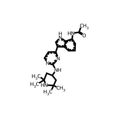 CC(=O)Nc1cccc2c(-c3ccnc(NC4CC(C)(C)NC(C)(C)C4)n3)c[nH]c12